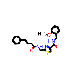 COc1ccccc1CNC(=O)c1csc(CNC(=O)CC=Cc2ccccc2)n1